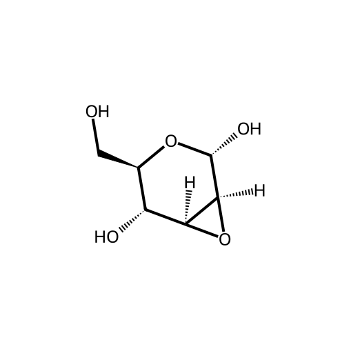 OC[C@H]1O[C@H](O)[C@H]2O[C@H]2[C@@H]1O